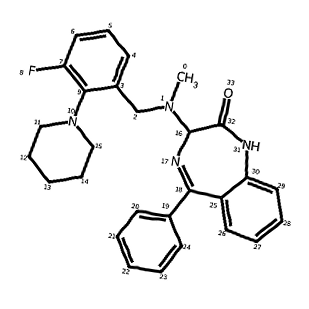 CN(Cc1cccc(F)c1N1CCCCC1)C1N=C(c2ccccc2)c2ccccc2NC1=O